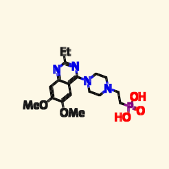 CCc1nc(N2CCN(CCP(=O)(O)O)CC2)c2cc(OC)c(OC)cc2n1